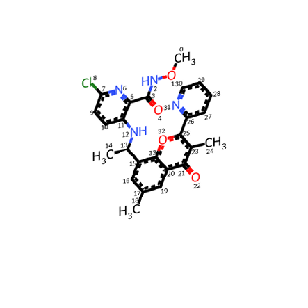 CONC(=O)c1nc(Cl)ccc1N[C@H](C)c1cc(C)cc2c(=O)c(C)c(-c3ccccn3)oc12